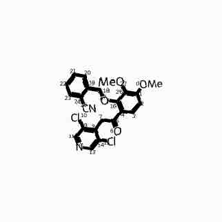 COc1ccc(C(=O)Cc2c(Cl)cncc2Cl)c(OCc2ccccc2C#N)c1OC